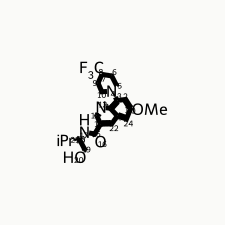 COc1cc(N2CCC(C(F)(F)F)CC2)c2ncc(C(=O)N[C@@H](CO)C(C)C)cc2c1